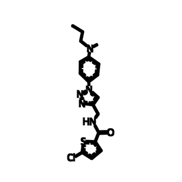 CCCN(C)c1ccc(-n2cc(CNC(=O)c3ccc(Cl)s3)nn2)cc1